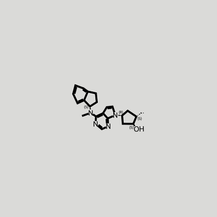 [CH2][C@H]1C[C@@H](n2ccc3c(N(C)[C@H]4CCc5ccccc54)ncnc32)C[C@@H]1O